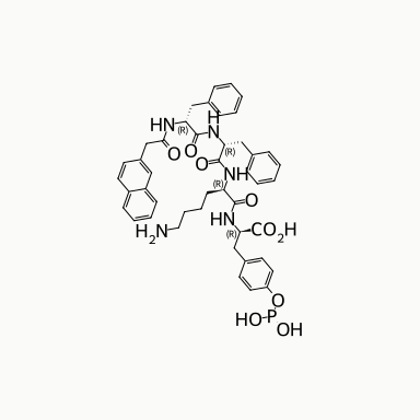 NCCCC[C@@H](NC(=O)[C@@H](Cc1ccccc1)NC(=O)[C@@H](Cc1ccccc1)NC(=O)Cc1ccc2ccccc2c1)C(=O)N[C@H](Cc1ccc(OP(O)O)cc1)C(=O)O